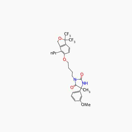 CCCc1c(OCCCCN2C(=O)NC(C)(c3cccc(OC)c3)C2=O)ccc2c1COC2(C(F)(F)F)C(F)(F)F